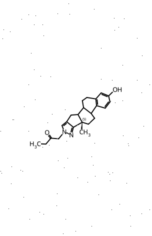 CCC(=O)Cn1cc2c(n1)[C@@]1(C)CCC3c4ccc(O)cc4CCC3C1C2